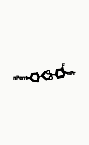 CCCCCC1CCC([C@H]2CO[C@H](c3ccc(CCC)c(F)c3)OC2)CC1